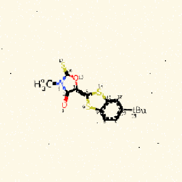 CN1C(=O)/C(=C2\Sc3ccc(C(C)(C)C)cc3S2)OC1=S